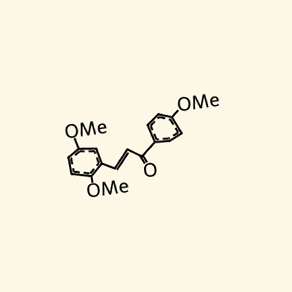 COc1ccc(C(=O)C=Cc2cc(OC)ccc2OC)cc1